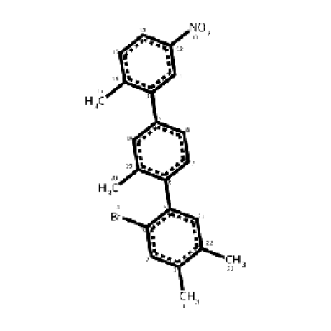 Cc1cc(Br)c(-c2ccc(-c3cc([N+](=O)[O-])ccc3C)cc2C)cc1C